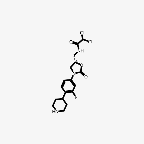 O=C(NC[C@H]1CN(c2ccc(C3CCNCC3)c(F)c2)C(=O)O1)C(Cl)Cl